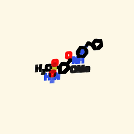 COc1cc(N)c(S(C)(=O)=O)cc1C(=O)NC1CC2CCC1CN2Cc1ccccc1